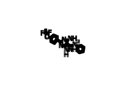 CC(F)(F)Oc1ccc(-c2nc(N)c3c(Nc4ccccc4)n[nH]c3n2)cc1